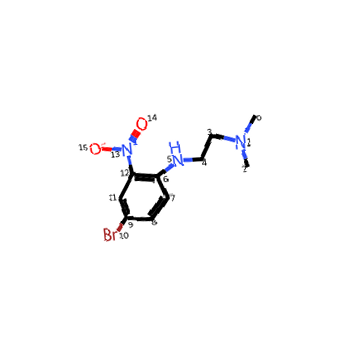 CN(C)CCNc1ccc(Br)cc1[N+](=O)[O-]